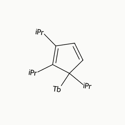 CC(C)C1=C(C(C)C)[C]([Tb])(C(C)C)C=C1